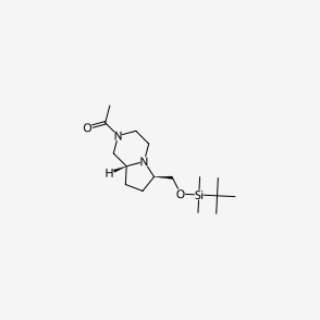 CC(=O)N1CCN2[C@@H](CO[Si](C)(C)C(C)(C)C)CC[C@@H]2C1